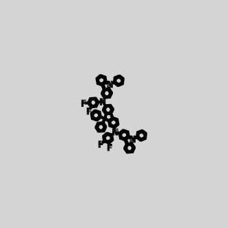 Fc1ccc(N(c2ccc3c(c2)C(c2ccccc2)(c2ccccc2)c2cc(N(c4ccc(F)c(F)c4)c4ccc5c(c4)c4ccccc4n5-c4ccccc4)ccc2-3)c2ccc3c(c2)c2ccccc2n3-c2ccccc2)cc1F